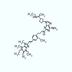 C=C(NCC)C1CCC(n2cnc3c(N)nc(NCCCc4ccc(/C=C/c5nc6c(n5C)C(=C)N(CC)C(=C)N6CC)cc4CC)nc32)C1